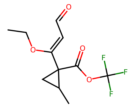 CCOC(=CC=O)C1(C(=O)OC(F)(F)F)CC1C